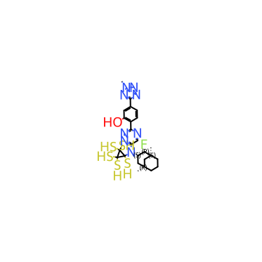 Cn1nnc(-c2ccc(-c3ncc(N([C@H]4C[C@]5(C)CCC[C@@](C)(C5)[C@H]4F)C4(S)C(S)(S)C4(S)S)nn3)c(O)c2)n1